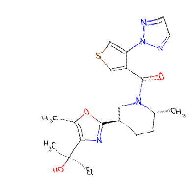 CC[C@@](C)(O)c1nc([C@@H]2CC[C@@H](C)N(C(=O)c3cscc3-n3nccn3)C2)oc1C